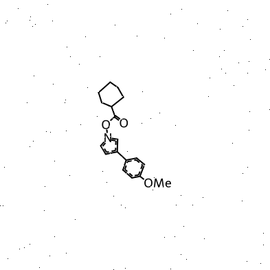 COc1ccc(-c2ccn(OC(=O)C3CCCCC3)c2)cc1